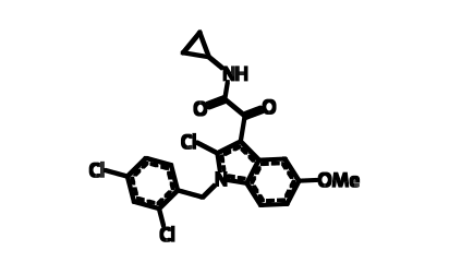 COc1ccc2c(c1)c(C(=O)C(=O)NC1CC1)c(Cl)n2Cc1ccc(Cl)cc1Cl